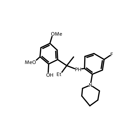 CCC(C)(Pc1ccc(F)cc1N1CCCCC1)c1cc(OC)cc(OC)c1O